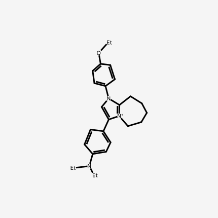 CCOc1ccc(-n2cc(-c3ccc(N(CC)CC)cc3)[n+]3c2CCCCC3)cc1